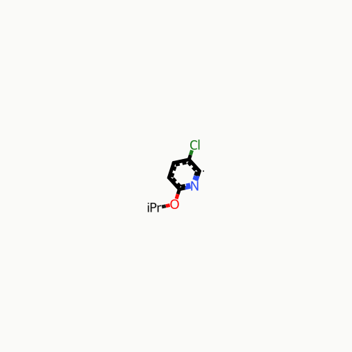 CC(C)Oc1ccc(Cl)[c]n1